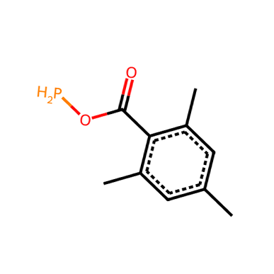 Cc1cc(C)c(C(=O)OP)c(C)c1